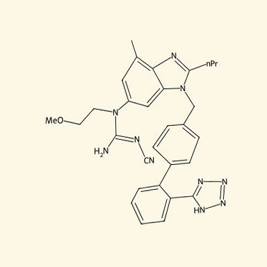 CCCc1nc2c(C)cc(N(CCOC)C(N)=NC#N)cc2n1Cc1ccc(-c2ccccc2-c2nnn[nH]2)cc1